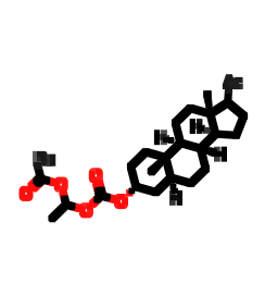 CCC(C)C(=O)OC(C)OC(=O)O[C@@H]1CC[C@@]2(C)[C@@H](CC[C@@H]3[C@@H]2CC[C@]2(C)C(C(C)=O)CC[C@@H]32)C1